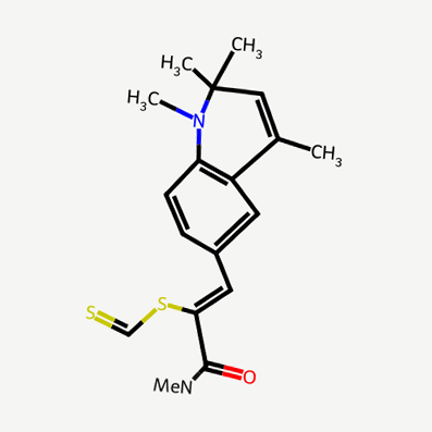 CNC(=O)/C(=C/c1ccc2c(c1)C(C)=CC(C)(C)N2C)SC=S